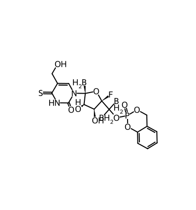 BC(B)(OP1(=O)OCc2ccccc2O1)[C@@]1(F)O[C@@](B)(n2cc(CO)c(=S)[nH]c2=O)[C@H](O)[C@@H]1O